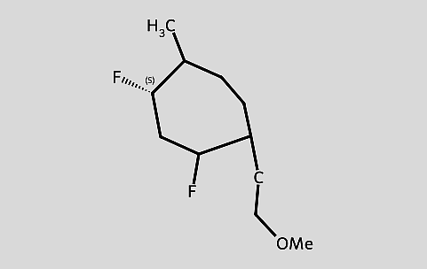 COCCC1CCC(C)[C@@H](F)CC1F